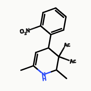 CC(=O)C1(C(C)=O)C(C)NC(C)=CC1c1ccccc1[N+](=O)[O-]